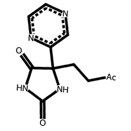 CC(=O)CCC1(c2cnccn2)NC(=O)NC1=O